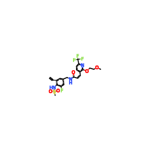 C#Cc1cc(CNC(=O)/C=C\c2ccc(C(F)(F)F)nc2OCCOC)cc(F)c1NS(C)(=O)=O